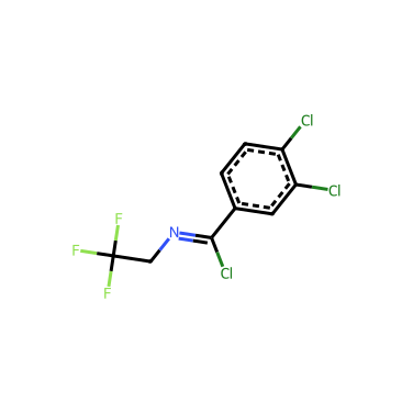 FC(F)(F)CN=C(Cl)c1ccc(Cl)c(Cl)c1